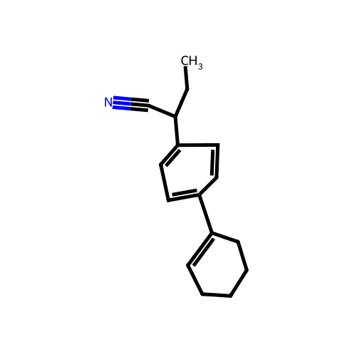 CCC(C#N)c1ccc(C2=CCCCC2)cc1